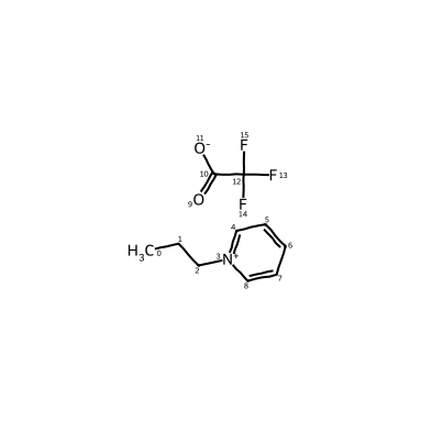 CCC[n+]1ccccc1.O=C([O-])C(F)(F)F